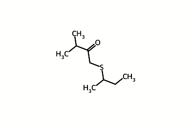 CCC(C)SCC(=O)C(C)C